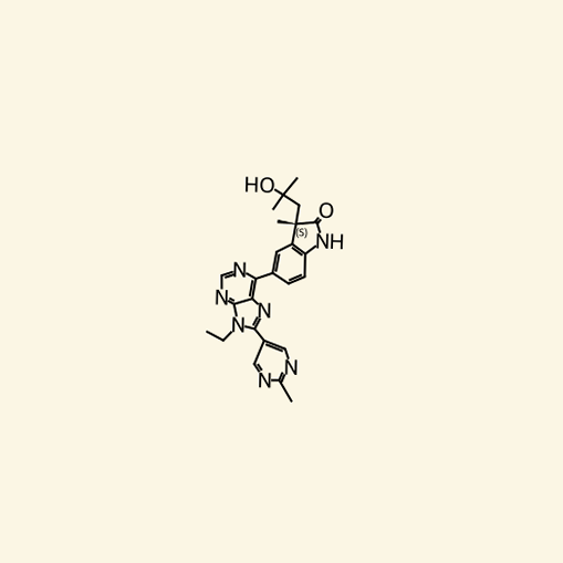 CCn1c(-c2cnc(C)nc2)nc2c(-c3ccc4c(c3)[C@](C)(CC(C)(C)O)C(=O)N4)ncnc21